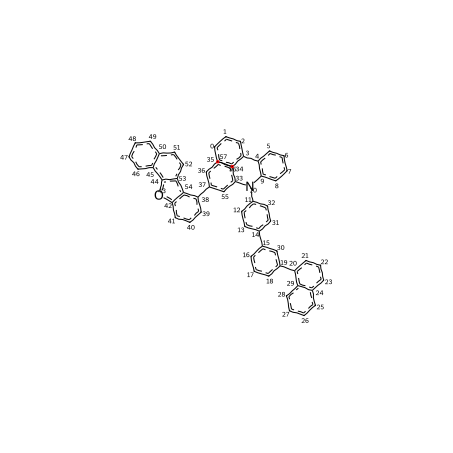 c1ccc(-c2ccccc2N(c2ccc(-c3cccc(-c4cccc5ccccc45)c3)cc2)c2cccc(-c3cccc4oc5c6ccccc6ccc5c34)c2)cc1